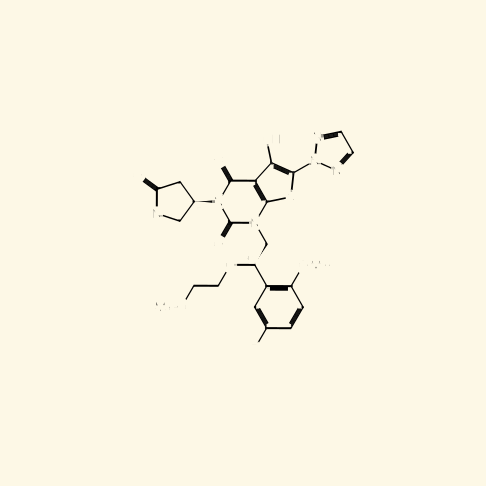 COCCO[C@@H](Cn1c(=O)n([C@H]2CNC(=O)C2)c(=O)c2c(C)c(-n3nccn3)sc21)c1cc(F)ccc1OC